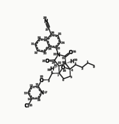 CCCCC12CCC(CCOc3ccc(Cl)cn3)(O1)[C@H]1C(=O)N(c3ccc(C#N)c4ccccc34)C(=O)[C@H]12